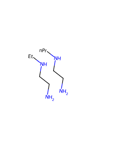 CCCNCCN.CCNCCN